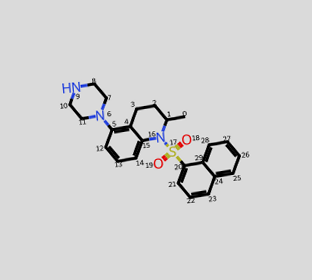 CC1CCc2c(N3CCNCC3)cccc2N1S(=O)(=O)c1cccc2ccccc12